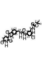 CC(C)(C)OC(=O)NCc1cc(Cl)cc(NC(=O)NCc2ccc3c(c2)CN(C2CCC(=O)NC2=O)C3=O)c1